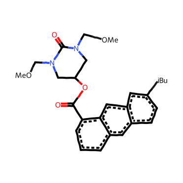 CCC(C)c1ccc2cc3cccc(C(=O)OC4CN(COC)C(=O)N(COC)C4)c3cc2c1